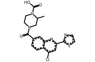 CC1CN(C(=O)c2ccc3c(Cl)cc(-c4nccs4)nc3c2)CCN1C(=O)O